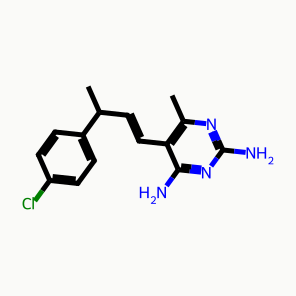 Cc1nc(N)nc(N)c1/C=C/C(C)c1ccc(Cl)cc1